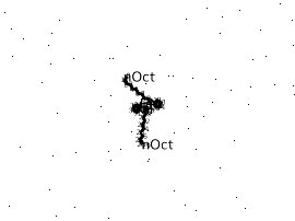 CCCCCCCC/C=C\CCCCCCC[CH](n1cccc1)[Hf]([F])([F])[CH](CCCCCCC/C=C\CCCCCCCC)n1cccc1